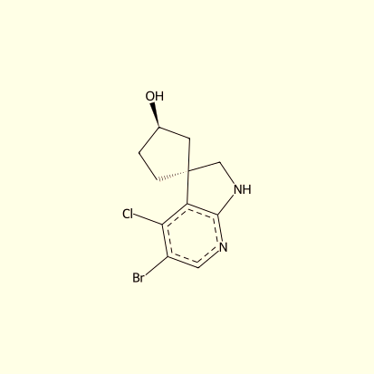 O[C@@H]1CC[C@@]2(CNc3ncc(Br)c(Cl)c32)C1